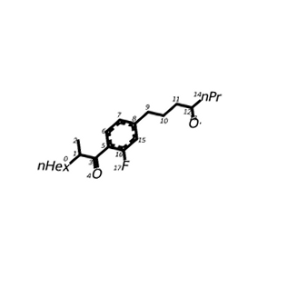 CCCCCCC(C)C(=O)c1ccc(CCCC([O])CCC)cc1F